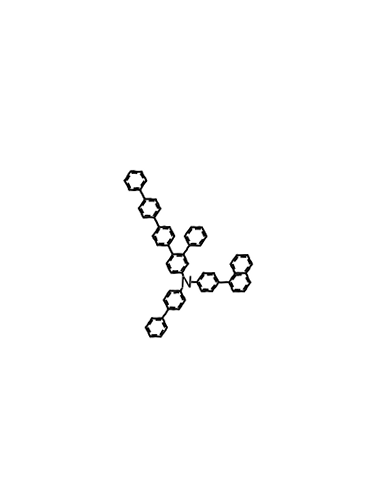 c1ccc(-c2ccc(-c3ccc(-c4ccc(N(c5ccc(-c6ccccc6)cc5)c5ccc(-c6cccc7ccccc67)cc5)cc4-c4ccccc4)cc3)cc2)cc1